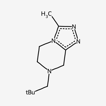 Cc1nnc2n1CCN(CC(C)(C)C)C2